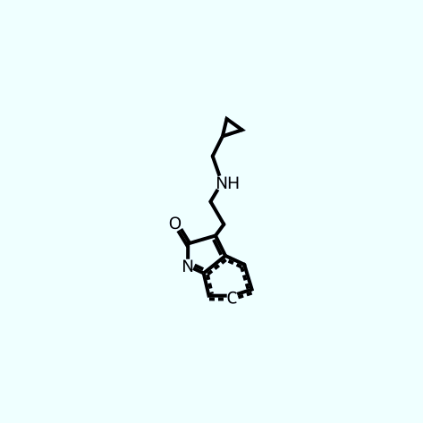 O=C1N=c2ccccc2=C1CCNCC1CC1